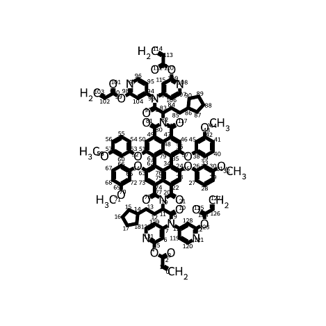 C=CC(=O)Oc1cc(N(C(=O)C(CCC2CCCC2)N2C(=O)c3cc(Oc4cccc(OC)c4)c4c5c(Oc6cccc(OC)c6)cc6c7c(cc(Oc8cccc(OC)c8)c(c8c(Oc9cccc(OC)c9)cc(c3c48)C2=O)c75)C(=O)N(C(CCC2CCCC2)C(=O)N(c2ccnc(OC(=O)C=C)c2)c2ccnc(OC(=O)C=C)c2)C6=O)c2ccnc(OC(=O)C=C)c2)ccn1